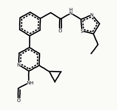 CCc1cnc(NC(=O)Cc2cccc(-c3cnc(NC=O)c(C4CC4)c3)c2)s1